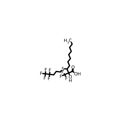 CCCCCCCCC(SCCCC(F)(F)C(F)(F)F)C(O)(C(=O)O)C(F)(F)F